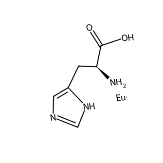 N[C@@H](Cc1cnc[nH]1)C(=O)O.[Eu]